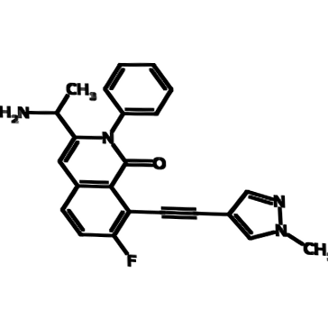 CC(N)c1cc2ccc(F)c(C#Cc3cnn(C)c3)c2c(=O)n1-c1ccccc1